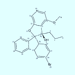 CCC[C@@]1(O)c2c(OC)cncc2OC1(c1ccccc1)C1C=CC(Br)=CC1